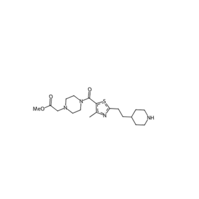 COC(=O)CN1CCN(C(=O)c2sc(CCC3CCNCC3)nc2C)CC1